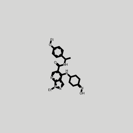 CCOc1ccc(C(C)NC(=O)c2cnc3c(cnn3CC)c2NC2CCC(=NO)CC2)cc1